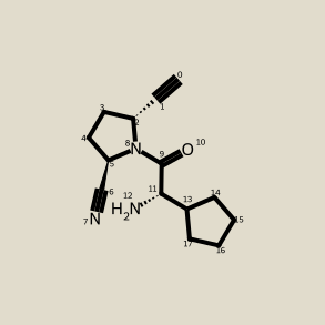 C#C[C@H]1CC[C@H](C#N)N1C(=O)[C@@H](N)C1CCCC1